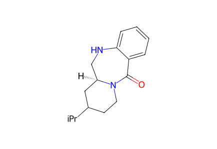 CC(C)C1CCN2C(=O)c3ccccc3NC[C@@H]2C1